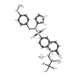 COc1ccc(CN(c2ccon2)S(=O)(=O)c2ccc3c(ccc(=O)n3[C@@H](C)C(C)C(F)(F)F)c2)cc1